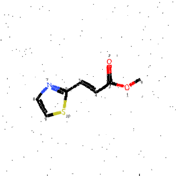 COC(=O)/C=C/c1nccs1